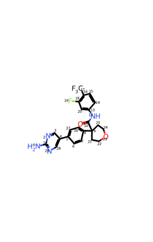 Nc1ncc(-c2ccc(C3(C(=O)Nc4ccc(C(F)(F)F)c(F)c4)CCOCC3)cc2)cn1